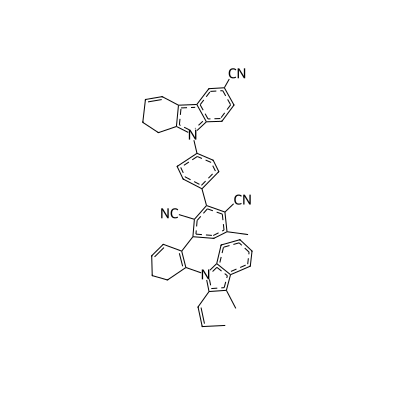 C/C=C\c1c(C)c2ccccc2n1C1=C(c2cc(C)c(C#N)c(-c3ccc(-n4c5c(c6cc(C#N)ccc64)C=CCC5)cc3)c2C#N)C=CCC1